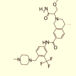 COCC(C(N)=O)N1Cc2cc(C(=O)Nc3ccc(CN4CCN(C)CC4)c(C(F)(F)F)c3)ccc2[C@@H](C)C1